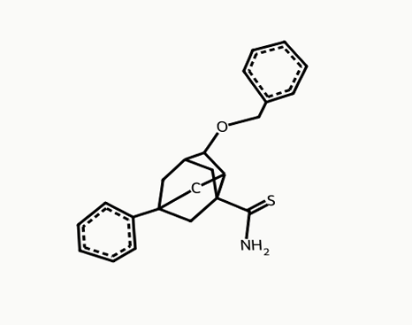 NC(=S)C12CC3CC(c4ccccc4)(CC1C3OCc1ccccc1)C2